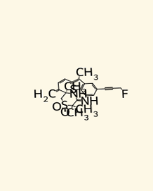 C=C(/C=C\c1sc2ccc(C#CCF)cc2c1C)[C@]1(C)CS(=O)(=O)C(C)(C)C(=N)N1